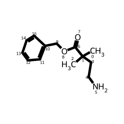 CC(C)(CCN)C(=O)OCc1ccccc1